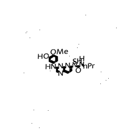 CCCNC(=O)N(S)c1ccc2ncc(Nc3ccc(OC)c(O)c3)nc2n1